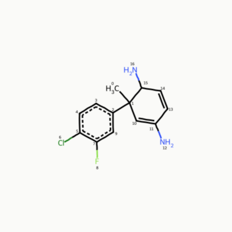 CC1(c2ccc(Cl)c(F)c2)C=C(N)C=CC1N